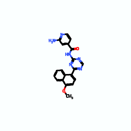 COc1ccc(-c2ncnc(NC(=O)c3ccnc(N)c3)n2)c2ccccc12